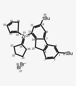 CC(C)(C)c1ccc2c(c1)-c1cc(C(C)(C)C)c[c]([Zr+2]([C]3=CC=CC3)=[C]3CCCC3)c1C2.[Br-].[Br-]